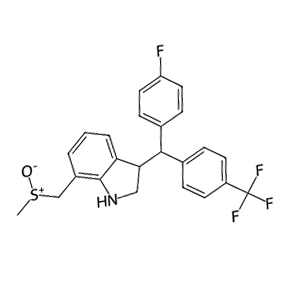 C[S+]([O-])Cc1cccc2c1NCC2C(c1ccc(F)cc1)c1ccc(C(F)(F)F)cc1